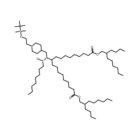 CCCCCCCC[S+]([O-])N(CC1CCN(CCO[Si](C)(C)C(C)(C)C)CC1)C(CCCCCCCCC(=O)OCC(CCCC)CCCCCC)CCCCCCCCC(=O)OCC(CCCC)CCCCCC